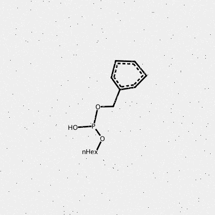 CCCCCCOP(O)OCc1ccccc1